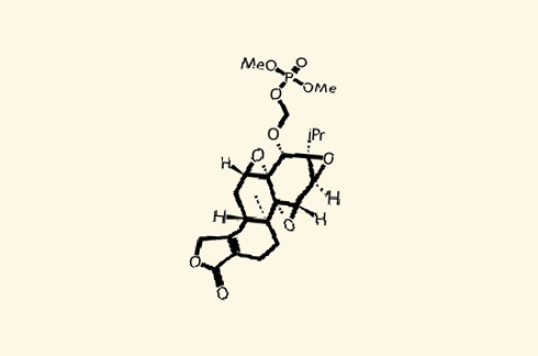 COP(=O)(OC)OCO[C@@H]1[C@@]2(C(C)C)O[C@H]2[C@@H]2O[C@]23[C@]12O[C@H]2C[C@H]1C2=C(CC[C@@]13C)C(=O)OC2